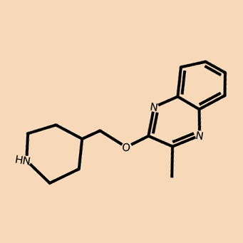 Cc1nc2ccccc2nc1OCC1CCNCC1